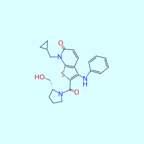 O=C(c1sc2c(ccc(=O)n2CC2CC2)c1Nc1ccccc1)N1CCC[C@@H]1CO